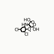 COc1c(Cl)cc(Cl)cc1NC(=CC(=O)O)C(=O)O